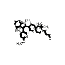 COc1ccc(-c2c(C3=CC[C@@]4(CC3)CCN(C=CC=O)C(C)(C)C4)n(C)c3ncnc(N)c23)cn1